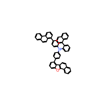 c1ccc(N(c2ccc(-c3cccc4c3ccc3ccccc34)cc2)c2ccc(-c3cccc4oc5c6ccccc6ccc5c34)cc2)c(-c2cccc3ccccc23)c1